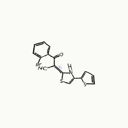 N#C/C(C(=O)c1ccccc1Br)=C1/NC(c2cccs2)=CS1